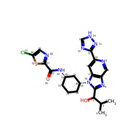 CC(C)C(O)c1nc2cnc(-c3nc[nH]n3)cc2n1[C@@H]1CCC[C@H](NC(=O)c2ncc(Cl)s2)C1